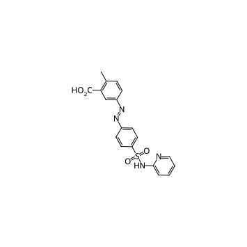 Cc1ccc(N=Nc2ccc(S(=O)(=O)Nc3ccccn3)cc2)cc1C(=O)O